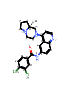 O=C(Nc1ccc2nccc(N3CCN4CCC[C@H]4C3)c2c1)c1ccc(Cl)c(Cl)c1